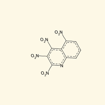 O=[N+]([O-])c1nc2cccc([N+](=O)[O-])c2c([N+](=O)[O-])c1[N+](=O)[O-]